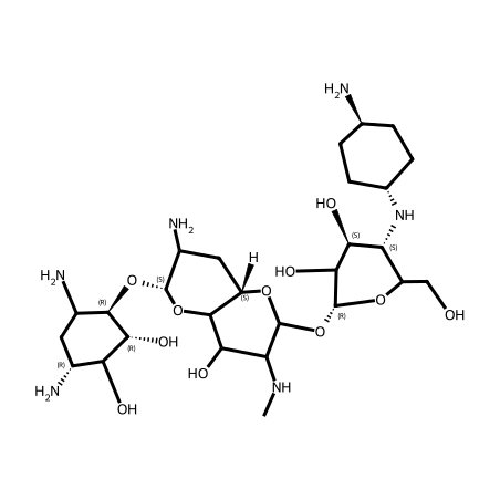 CNC1C(O[C@H]2OC(CO)[C@@H](N[C@H]3CC[C@H](N)CC3)[C@H](O)C2O)O[C@H]2CC(N)[C@@H](O[C@@H]3C(N)C[C@@H](N)C(O)[C@H]3O)OC2C1O